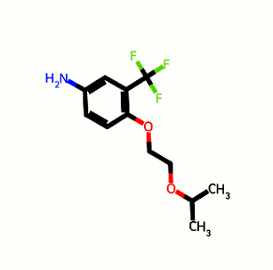 CC(C)OCCOc1ccc(N)cc1C(F)(F)F